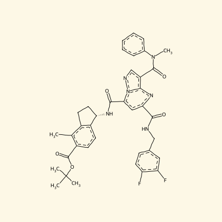 Cc1c(C(=O)OC(C)(C)C)ccc2c1CC[C@@H]2NC(=O)c1cc(C(=O)NCc2ccc(F)c(F)c2)nc2c(C(=O)N(C)c3ccccc3)cnn12